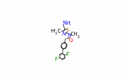 Cc1nc(N(C)C(=O)Cc2ccc(-c3cc(F)ccc3F)cc2)sc1C=N